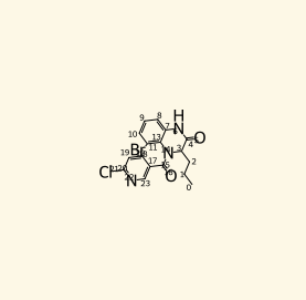 CCCC1C(=O)Nc2cccc(Br)c2N1C(=O)c1ccc(Cl)nc1